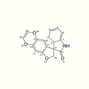 O=C1NC2=CC=CCC2C12COc1cc3c(cc12)OC=CO3